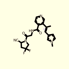 C/C(=C\c1ccn(C)c1)c1cnccc1C(=O)NCC(=O)N1CC(F)(F)CC1C#N